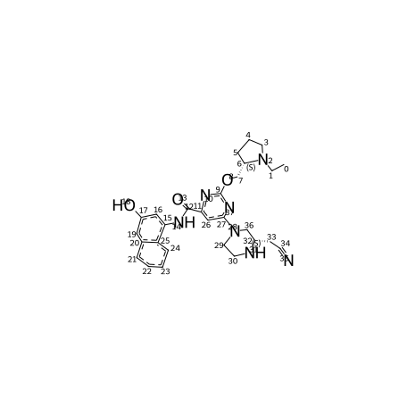 CCN1CCC[C@H]1COc1nc(C(=O)Nc2cc(O)cc3ccccc23)cc(N2CCN[C@@H](CC#N)C2)n1